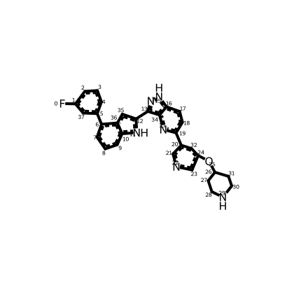 Fc1cccc(-c2cccc3[nH]c(-c4n[nH]c5ccc(-c6cncc(OC7CCNCC7)c6)nc45)cc23)c1